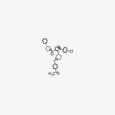 CC(=O)c1ccc(CN2CCCC(c3c(C(=O)N4CC[C@H](c5ccccc5)C4)cnn3-c3ccc(Cl)cc3)C2)cc1